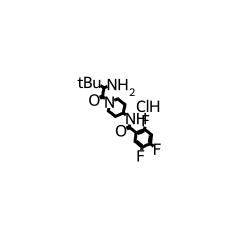 CC(C)(C)C(N)C(=O)N1CCC(NC(=O)c2cc(F)c(F)cc2F)CC1.Cl